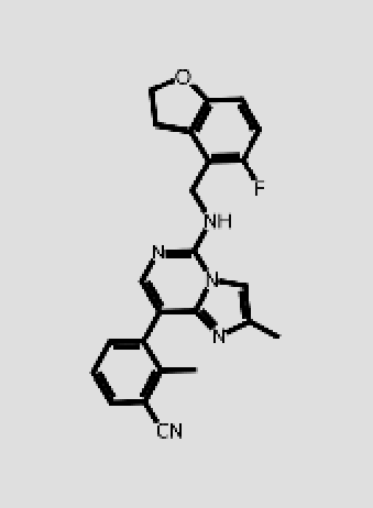 Cc1cn2c(NCc3c(F)ccc4c3CCO4)ncc(-c3cccc(C#N)c3C)c2n1